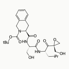 CC(C)C[C@H](NC(=O)[C@H](CO)NC(=O)[C@@H]1Cc2ccccc2CN1C(=O)OC(C)(C)C)C(=O)[C@@]1(CO)CO1